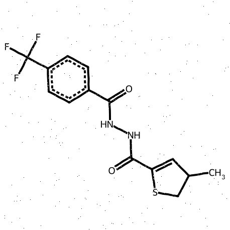 CC1C=C(C(=O)NNC(=O)c2ccc(C(F)(F)F)cc2)SC1